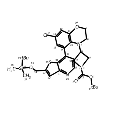 CC(C)(C)OC(=O)N1CC(N2CCOc3cc(Cl)cc(-c4ccnc5cc(CO[Si](C)(C)C(C)(C)C)sc45)c32)C1